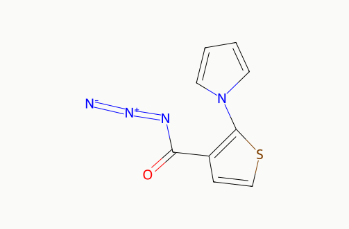 [N-]=[N+]=NC(=O)c1ccsc1-n1cccc1